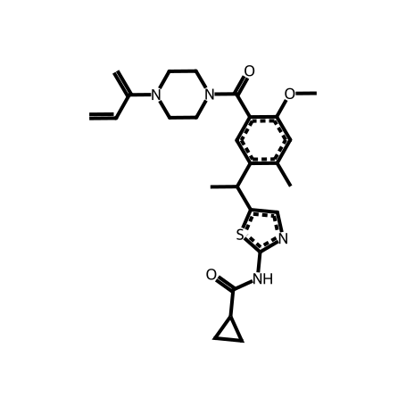 C=CC(=C)N1CCN(C(=O)c2cc(C(C)c3cnc(NC(=O)C4CC4)s3)c(C)cc2OC)CC1